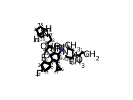 C=CC(=O)N1C[C@H](C)N(/C(=N/C=O)c2cc(C3CC3)c(-c3ccc(F)cc3F)c3c2N[C@H](CCCN2C[C@H]4CC[C@@H]2C4)CO3)C[C@H]1C